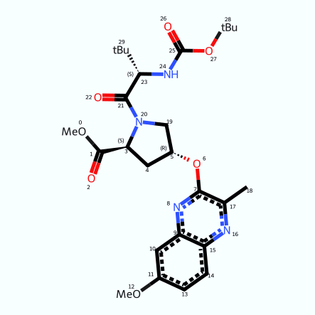 COC(=O)[C@@H]1C[C@@H](Oc2nc3cc(OC)ccc3nc2C)CN1C(=O)[C@@H](NC(=O)OC(C)(C)C)C(C)(C)C